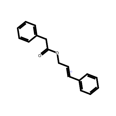 O=C(Cc1ccccc1)OC/C=C/c1ccccc1